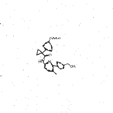 COc1ccc(C2(C(=O)Nc3ccc(C)c(-c4ccc(CO)cc4)n3)CC2)cc1